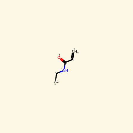 C=CC(=O)NCC(C)=O